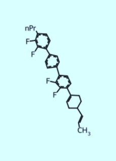 C/C=C/C1CC=C(c2ccc(-c3ccc(-c4ccc(CCC)c(F)c4F)cc3)c(F)c2F)CC1